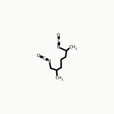 CC(CCCC(C)N=C=O)CN=C=O